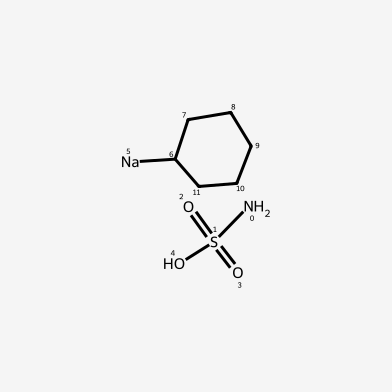 NS(=O)(=O)O.[Na][CH]1CCCCC1